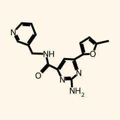 Cc1ccc(-c2cc(C(=O)NCc3cccnc3)nc(N)n2)o1